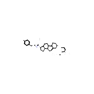 CC(=O)OC[C@H]1OC(O[C@H]2CC[C@@]3(C)C(=CCC4C3CC[C@@]3(C)C4CC[C@@H]3/C(C)=N/OCc3ccc(F)cc3)C2)C=C[C@@H]1OC(C)=O